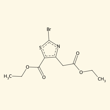 CCOC(=O)Cc1nc(Br)sc1C(=O)OCC